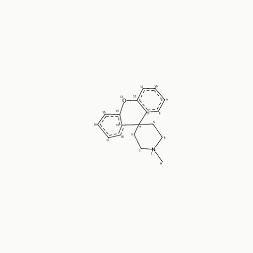 CN1CCC2(CC1)c1ccccc1Oc1ccccc12